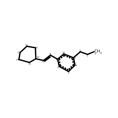 CCCc1cccc(/C=C/C2CCCCC2)c1